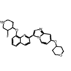 FC1CNCCC1Oc1cccc2ccc(-c3cnc4cc(OC5CCOCC5)ccn34)nc12